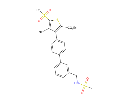 CCOC(=O)c1sc(S(=O)(=O)CC)c(C#N)c1-c1ccc(-c2cccc(CNS(C)(=O)=O)c2)cc1